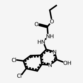 CCOC(=O)NNc1nc(O)nc2cc(Cl)c(Cl)cc12